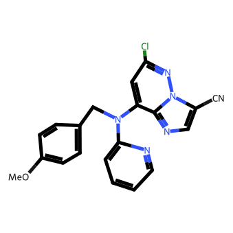 COc1ccc(CN(c2ccccn2)c2cc(Cl)nn3c(C#N)cnc23)cc1